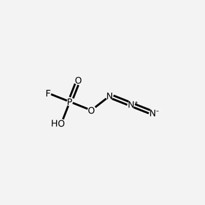 [N-]=[N+]=NOP(=O)(O)F